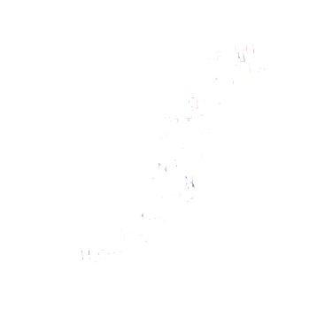 CCCCCCc1cnc(-c2ccc(OCCCC(O)(F)F)cc2)nc1